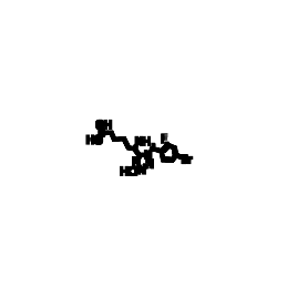 Cl.NC(CCCCB(O)O)c1nnnn1Cc1ccc(Br)cc1F